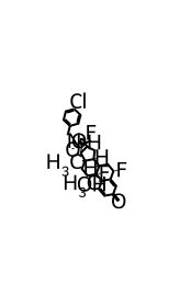 C[C@]12C=CC(=O)C=C1[C@@H](F)C[C@H]1[C@@H]3C[C@H]4CN(Cc5ccc(Cl)cc5)O[C@@]4(C(=O)CF)[C@@]3(C)C[C@H](O)[C@@]12F